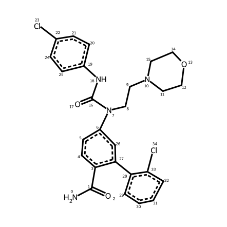 NC(=O)c1ccc(N(CCN2CCOCC2)C(=O)Nc2ccc(Cl)cc2)cc1-c1ccccc1Cl